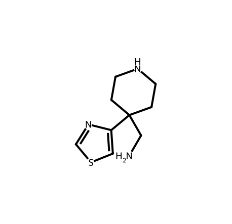 NCC1(c2cscn2)CCNCC1